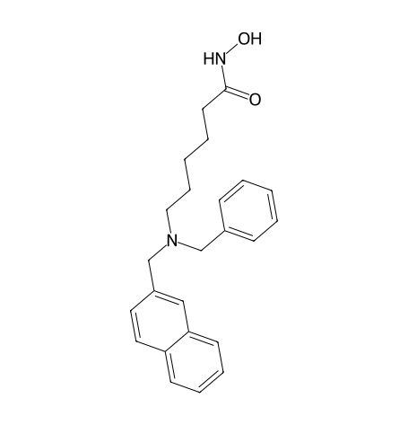 O=C(CCCCCN(Cc1ccccc1)Cc1ccc2ccccc2c1)NO